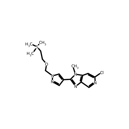 Cn1c(-c2cnn(COCCS(C)(C)C)c2)nc2cnc(Cl)cc21